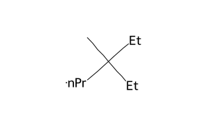 CC[CH]C(C)(CC)CC